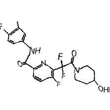 Cc1cc(NC(=O)c2ccc(F)c(C(F)(F)C(=O)N3CCC(O)CC3)n2)ccc1F